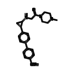 COc1ccc(-c2ccc(C3CC3NCC(=O)N3CCN(C)CC3)cc2)cc1